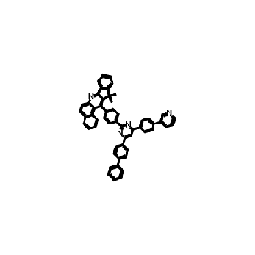 CC1(C)c2ccccc2-c2nc3ccc4ccccc4c3c(-c3ccc(-c4nc(-c5ccc(-c6ccccc6)cc5)cc(-c5ccc(-c6cccnc6)cc5)n4)cc3)c21